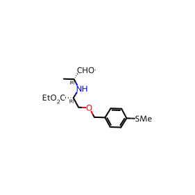 CCOC(=O)[C@@H](COCc1ccc(SC)cc1)N[C@H](C)[C]=O